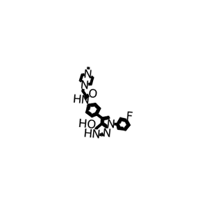 CN1CCN(CC(=O)Nc2ccc(-c3cn(-c4cccc(F)c4)c4c3C(O)NC=N4)cc2)CC1